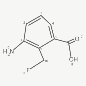 Nc1cccc(C(=O)O)c1CF